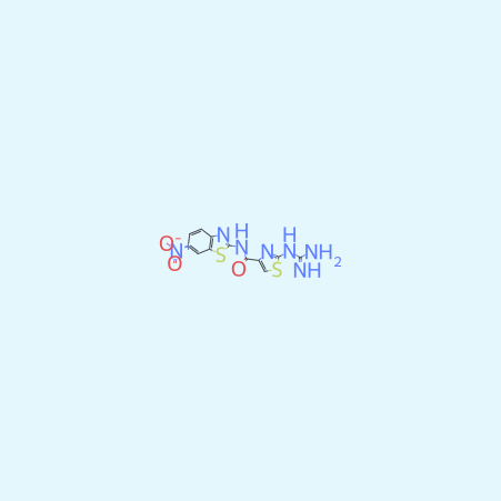 N=C(N)Nc1nc(C(=O)Nc2nc3ccc([N+](=O)[O-])cc3s2)cs1